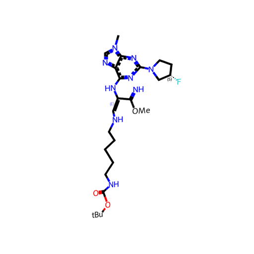 COC(=N)/C(=C\NCCCCCNC(=O)OC(C)(C)C)Nc1nc(N2CC[C@H](F)C2)nc2c1ncn2C